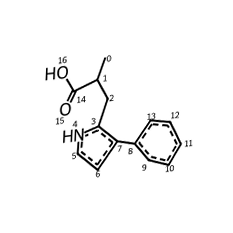 CC(Cc1[nH]ccc1-c1ccccc1)C(=O)O